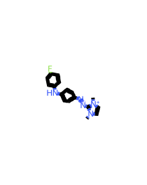 Cn1cc[n+](C)c1/N=N/c1ccc(Nc2ccc(F)cc2)cc1